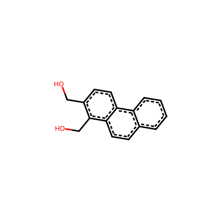 OCc1ccc2c(ccc3ccccc32)c1CO